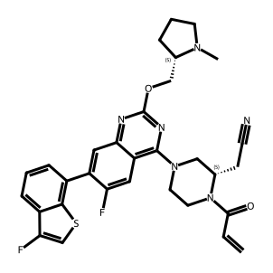 C=CC(=O)N1CCN(c2nc(OC[C@@H]3CCCN3C)nc3cc(-c4cccc5c(F)csc45)c(F)cc23)C[C@@H]1CC#N